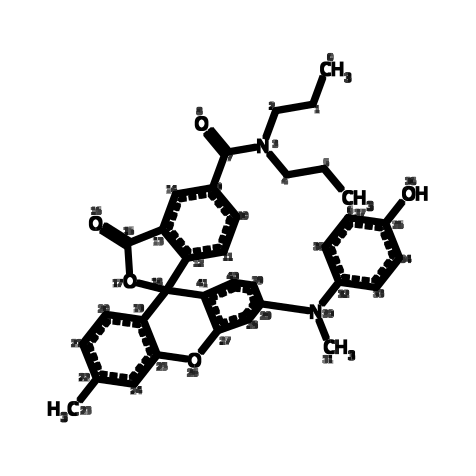 CCCN(CCC)C(=O)c1ccc2c(c1)C(=O)OC21c2ccc(C)cc2Oc2cc(N(C)c3ccc(O)cc3)ccc21